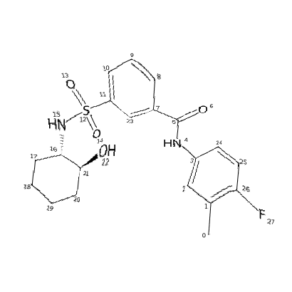 Cc1cc(NC(=O)c2cccc(S(=O)(=O)N[C@H]3CCCC[C@@H]3O)c2)ccc1F